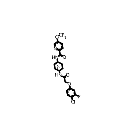 O=C(COc1ccc(Cl)c(F)c1)NC12CCC(NC(=O)c3ccc(OC(F)(F)F)cn3)(CC1)CC2